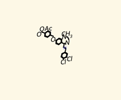 CC(=O)OC(=O)c1ccc(COc2ccc3c(c2)N(C)CCN=C3/C=C/c2ccc(Cl)c(Cl)c2)cc1